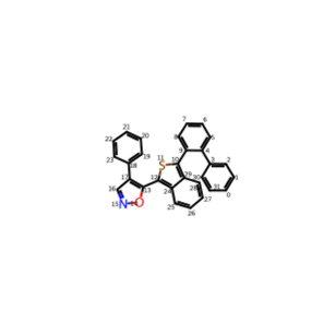 c1ccc(-c2ccccc2-c2sc(-c3oncc3-c3ccccc3)c3ccccc23)cc1